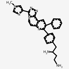 Cn1cnc(-c2nnc3c4cc(-c5ccccc5)c(-c5ccc(CC(N)CCN)cc5)nc4ccn23)c1